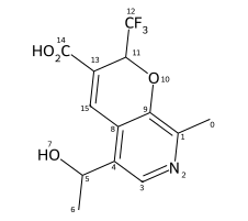 Cc1ncc(C(C)O)c2c1OC(C(F)(F)F)C(C(=O)O)=C2